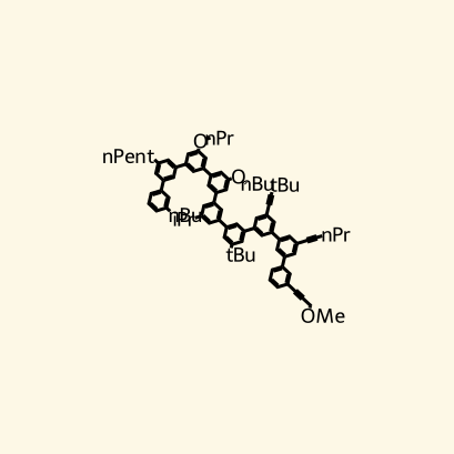 CCCC#Cc1cc(-c2cccc(C#CCOC)c2)cc(-c2cc(C#CC(C)(C)C)cc(-c3cc(-c4cc(-c5cc(OCCCC)cc(-c6cc(OCCC)cc(-c7cc(CCCCC)cc(-c8cccc(CCCC)c8)c7)c6)c5)cc(C(C)C)c4)cc(C(C)(C)C)c3)c2)c1